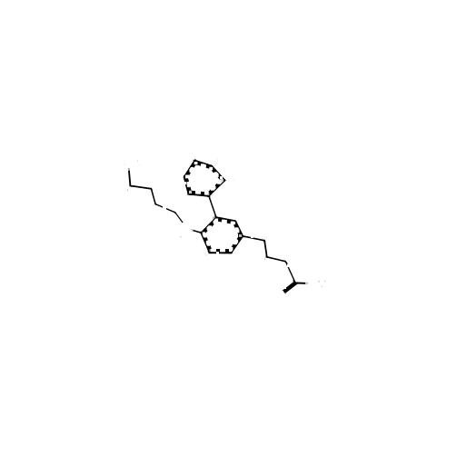 COC(=O)CCCc1ccc(OCCCCOC(C)=O)c(-c2ccccc2)c1